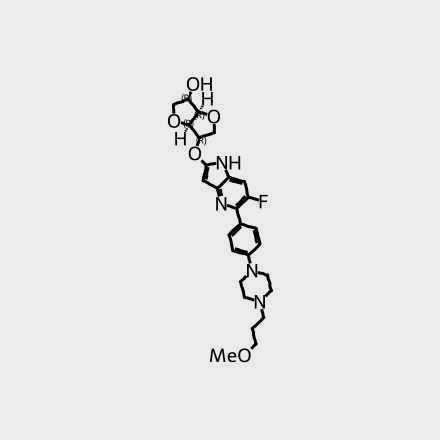 COCCCN1CCN(c2ccc(-c3nc4cc(O[C@@H]5CO[C@H]6[C@@H]5OC[C@H]6O)[nH]c4cc3F)cc2)CC1